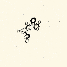 O=C(N[C@H](CO)C(=O)Nc1ccccc1N1CCOCC1=O)c1ccc(Cl)s1